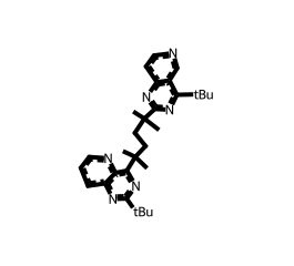 CC(C)(C)c1nc(C(C)(C)CCC(C)(C)c2nc(C(C)(C)C)c3cnccc3n2)c2ncccc2n1